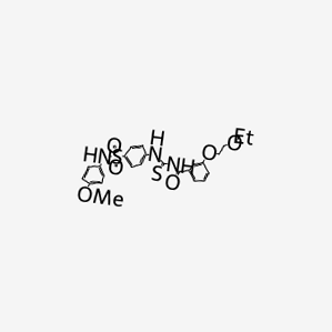 CCOCCOc1cccc(C(=O)NC(=S)Nc2ccc(S(=O)(=O)Nc3ccc(OC)cc3)cc2)c1